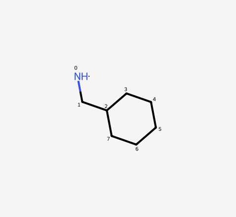 [NH]CC1CCCCC1